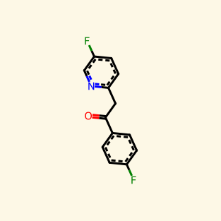 O=C(Cc1ccc(F)cn1)c1ccc(F)cc1